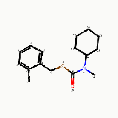 Cc1ccccc1CSC(=O)N(C)C1CCCCC1